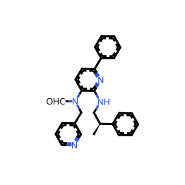 C[C@@H](CNc1nc(-c2ccccc2)ccc1N(C=O)Cc1cccnc1)c1ccccc1